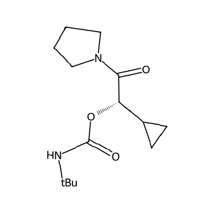 CC(C)(C)NC(=O)O[C@H](C(=O)N1CCCC1)C1CC1